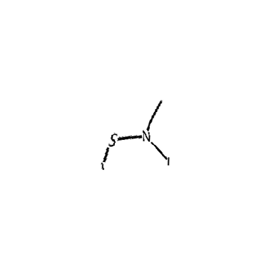 CN(I)SI